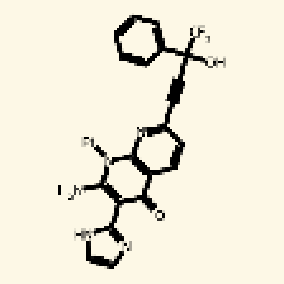 CCn1c(N)c(-c2ncc[nH]2)c(=O)c2ccc(C#CC(O)(c3ccccc3)C(F)(F)F)nc21